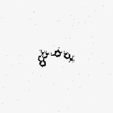 O=c1nc(OCc2ccc(Oc3ccc(C(F)(F)F)cn3)c(F)c2)cc2n1CCc1ccccc1-2